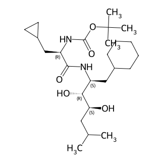 CC(C)C[C@H](O)[C@H](O)[C@H](CC1CCCCC1)NC(=O)[C@@H](CC1CC1)NC(=O)OC(C)(C)C